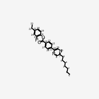 CCCCCCCc1cnc(-c2ccc(C(=O)Oc3ccc(CC)cc3F)cc2)cn1